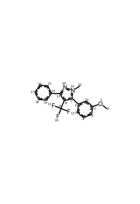 COc1cccc(-c2c(C(F)(F)F)c(-c3ccccc3)nn2C)c1